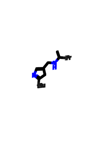 CC(C)C(C)NCC1=CN=C(C(C)(C)C)C1